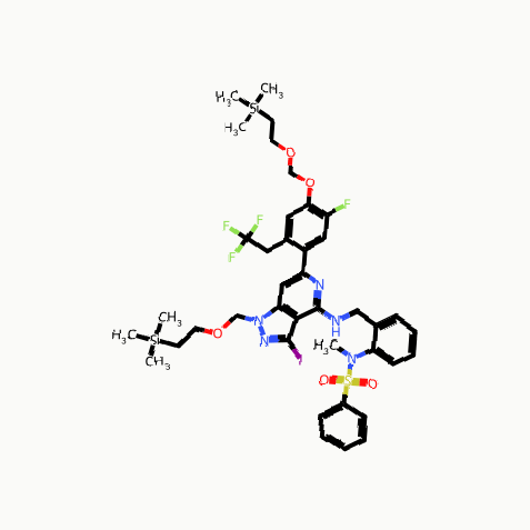 CN(c1ccccc1CNc1nc(-c2cc(F)c(OCOCC[Si](C)(C)C)cc2CC(F)(F)F)cc2c1c(I)nn2COCC[Si](C)(C)C)S(=O)(=O)c1ccccc1